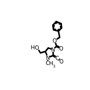 CN1C(=C=O)N(C(=O)OCc2ccccc2)CC1CO